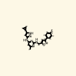 Cc1cc(Nc2cc(C3CC3)[nH]n2)nc(NCc2cc(-c3ccc(F)cc3)no2)n1